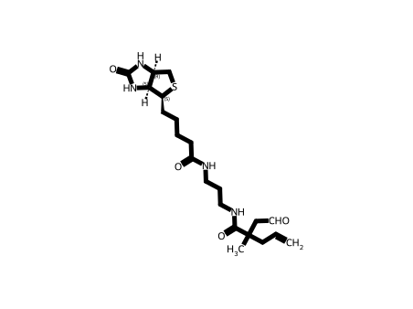 C=CCC(C)(CC=O)C(=O)NCCCNC(=O)CCCC[C@@H]1SC[C@@H]2NC(=O)N[C@@H]21